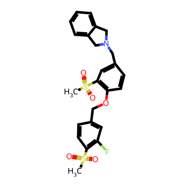 CS(=O)(=O)c1ccc(COc2ccc(CN3Cc4ccccc4C3)cc2S(C)(=O)=O)cc1F